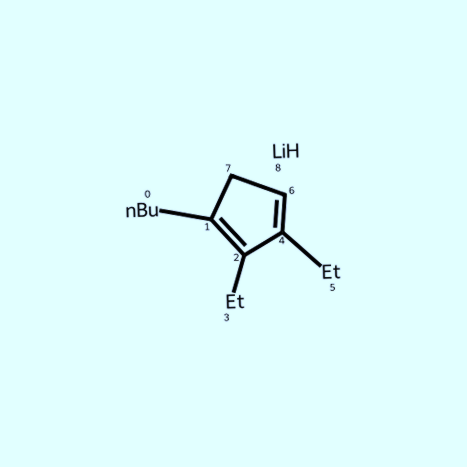 CCCCC1=C(CC)C(CC)=CC1.[LiH]